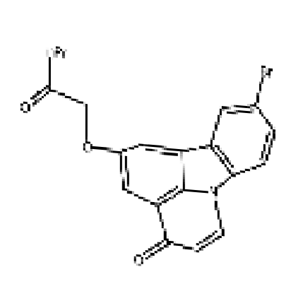 CCCC(=O)COc1cc2c(=O)ccn3c4ccc(Br)cc4c(c1)c23